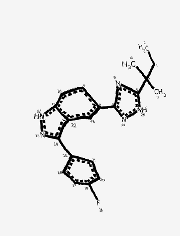 CCC(C)(C)c1nc(-c2ccc3[nH]nc(-c4ccc(F)cc4)c3c2)n[nH]1